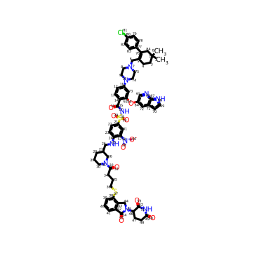 CC1(C)CCC(CN2CCN(c3ccc(C(=O)NS(=O)(=O)c4ccc(NCC5CCCN(C(=O)CCCSc6cccc7c6CN(C6CCC(=O)NC6=O)C7=O)C5)c([N+](=O)[O-])c4)c(Oc4cnc5[nH]ccc5c4)c3)CC2)=C(c2ccc(Cl)cc2)C1